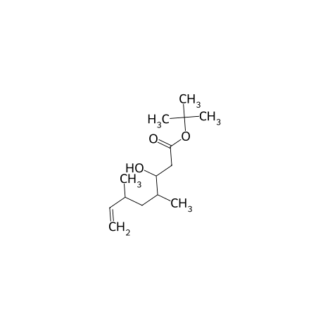 C=CC(C)CC(C)C(O)CC(=O)OC(C)(C)C